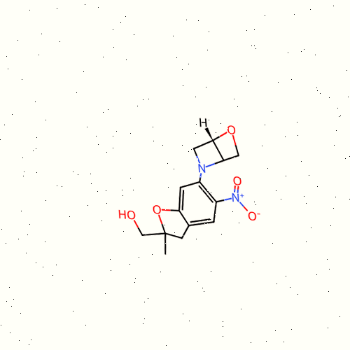 CC1(CO)Cc2cc([N+](=O)[O-])c(N3C[C@@H]4OCC43)cc2O1